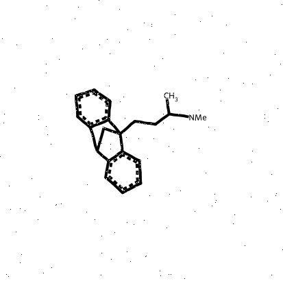 CNC(C)CCC12CC(c3ccccc31)c1ccccc12